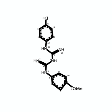 COc1ccc(NC(=N)NC(=N)Nc2ccc(Cl)cc2)cc1